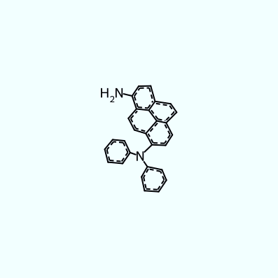 Nc1ccc2ccc3ccc(N(c4ccccc4)c4ccccc4)c4ccc1c2c34